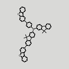 CC1(C)c2ccccc2-c2ccc(N(c3ccc(-c4ccc5oc6ccccc6c5c4)cc3)c3ccc4c(c3)C(C)(C)c3cc(-c5ccc6oc7ccccc7c6c5)ccc3-4)cc21